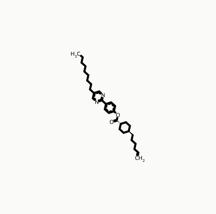 C=CCCCC[C@H]1CC[C@H](C(=O)Oc2ccc(-c3ncc(CCCCCCCCC)cn3)cc2)CC1